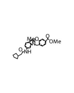 COC(=O)c1ccc(Cn2ncc3ccc(NC(=O)CC4CCCC4)cc32)c(OC)c1